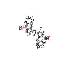 CC1=C(CCC2=C(C)C=C3C2=Cc2ccccc2C3Br)C2=Cc3ccccc3C(Br)C2=C1